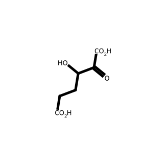 O=C(O)CCC(O)C(=O)C(=O)O